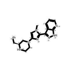 CC(C)C[C@H]1CN(c2cn(C)c(-c3n[nH]c4ncccc34)n2)CCN1